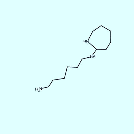 NCCCCCCNC1CCCCCN1